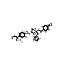 NN(C=S)c1ccc(OC[C@@H]2CO[C@](CCc3ccc(Cl)cc3)(Cn3ccnc3)O2)cc1